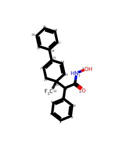 O=C(NO)C(c1ccccc1)C1(C(F)(F)F)C=CC(c2ccccc2)=CC1